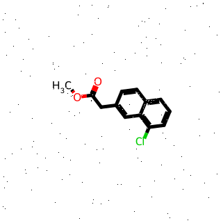 COC(=O)Cc1ccc2cccc(Cl)c2c1